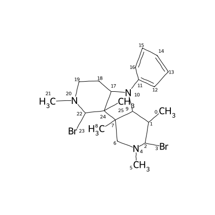 CC1C(Br)N(C)CC2(C)C1N(c1ccccc1)C1CCN(C)C(Br)C12C